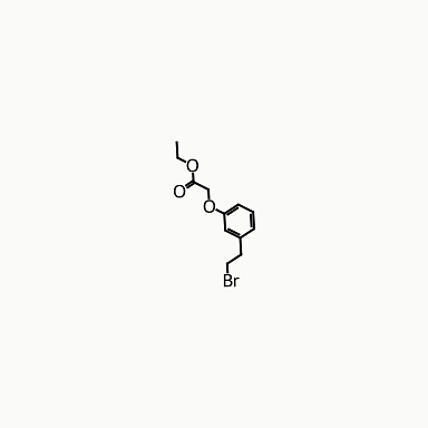 CCOC(=O)COc1cccc(CCBr)c1